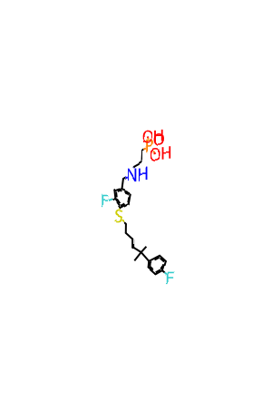 CC(C)(CCCCSc1ccc(CNCCCP(=O)(O)O)cc1F)c1ccc(F)cc1